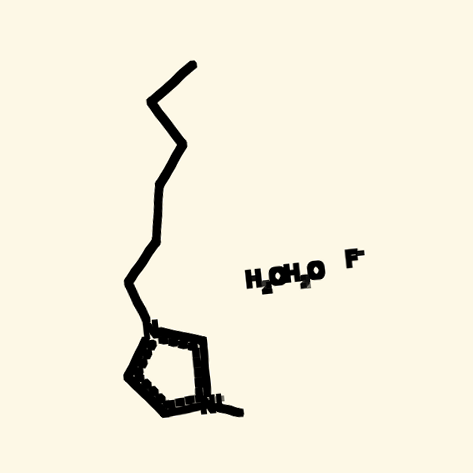 CCCCCCn1cc[n+](C)c1.O.O.[F-]